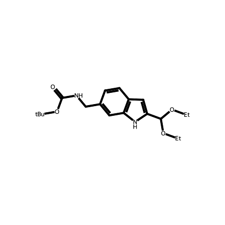 CCOC(OCC)c1cc2ccc(CNC(=O)OC(C)(C)C)cc2[nH]1